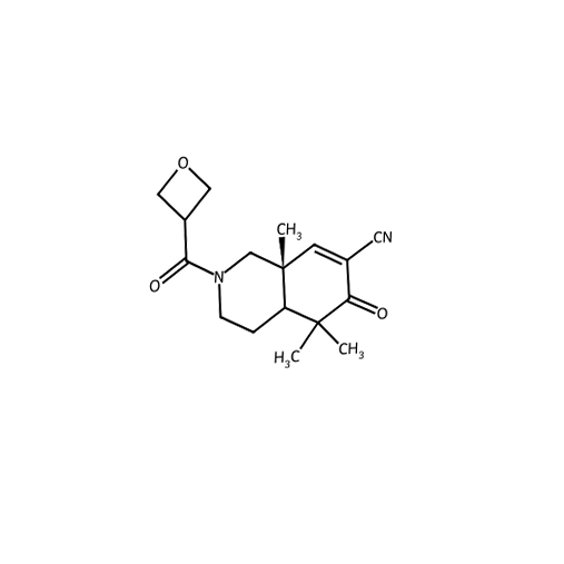 CC1(C)C(=O)C(C#N)=C[C@@]2(C)CN(C(=O)C3COC3)CCC12